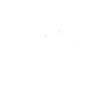 Cc1cc2c(c(F)c1C(F)(F)F)OC(C)CC2